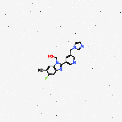 N#Cc1cc2c(cc1F)nc(-c1cncc(Cn3ccnc3)c1)n2CO